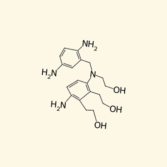 Nc1ccc(N)c(CN(CCO)c2ccc(N)c(CCO)c2CCO)c1